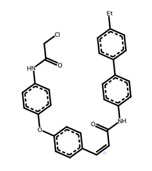 CCc1ccc(-c2ccc(NC(=O)/C=C\c3ccc(Oc4ccc(NC(=O)CCl)cc4)cc3)cc2)cc1